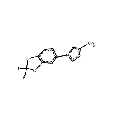 O=[N+]([O-])c1cn(-c2ccc3c(c2)OC(F)(F)O3)cn1